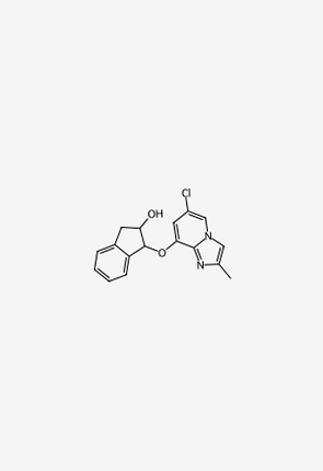 Cc1cn2cc(Cl)cc(OC3c4ccccc4CC3O)c2n1